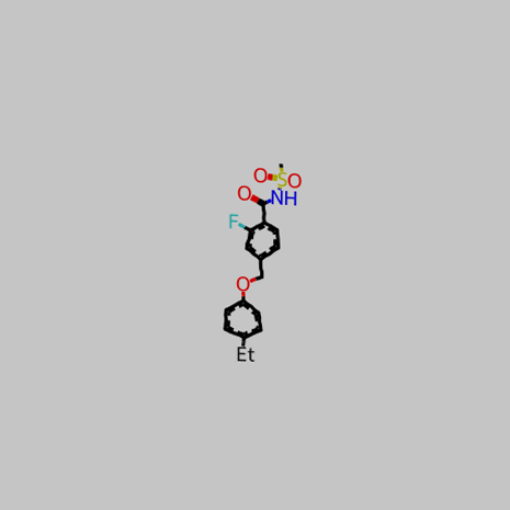 CCc1ccc(OCc2ccc(C(=O)NS(C)(=O)=O)c(F)c2)cc1